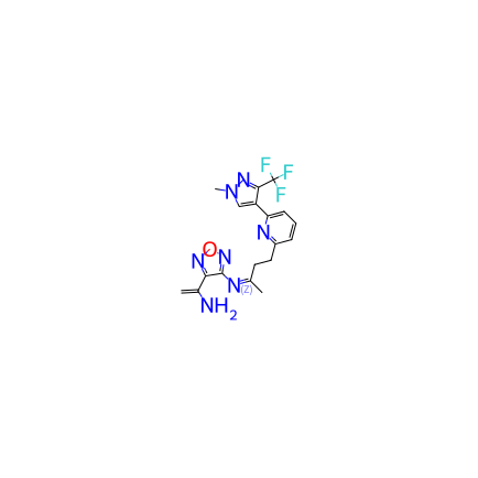 C=C(N)c1nonc1/N=C(/C)CCc1cccc(-c2cn(C)nc2C(F)(F)F)n1